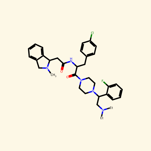 CCN(CC)CC(c1ccccc1F)N1CCN(C(=O)C(Cc2ccc(Cl)cc2)NC(=O)CC2c3ccccc3CN2C)CC1